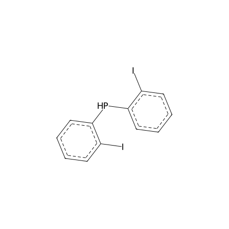 Ic1ccccc1Pc1ccccc1I